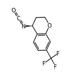 O=C=N[C@H]1CCOc2cc(C(F)(F)F)ccc21